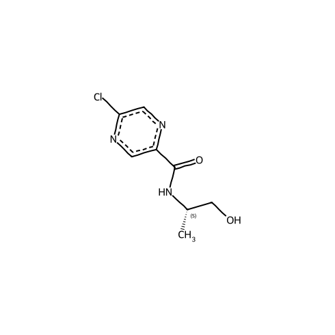 C[C@@H](CO)NC(=O)c1cnc(Cl)cn1